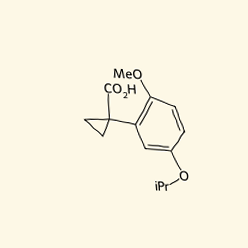 COc1ccc(OC(C)C)cc1C1(C(=O)O)CC1